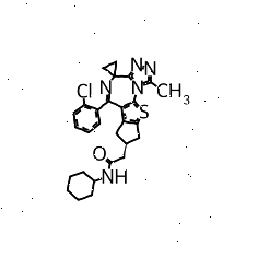 Cc1nnc2n1-c1sc3c(c1C(c1ccccc1Cl)=NC21CC1)C[C@H](CC(=O)NC1CCCCC1)C3